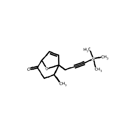 CC1CC(=O)C2C=CC1(CC#C[Si](C)(C)C)O2